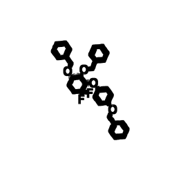 FC1(F)CC[C@H](OCc2ccccc2)[C@@H](OCc2ccccc2)[C@H]1Oc1ccc(OCc2ccccc2)cc1